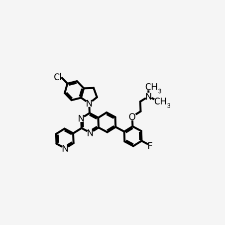 CN(C)CCOc1cc(F)ccc1-c1ccc2c(N3CCc4cc(Cl)ccc43)nc(-c3cccnc3)nc2c1